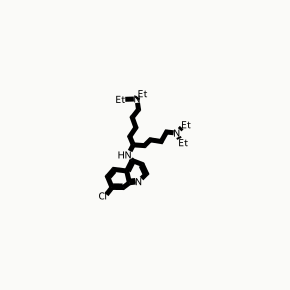 CCN(CC)CCCCC(CCCCN(CC)CC)Nc1ccnc2cc(Cl)ccc12